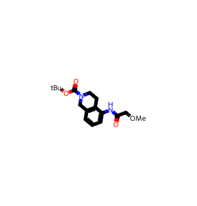 COCC(=O)Nc1cccc2c1CCN(C(=O)OC(C)(C)C)C2